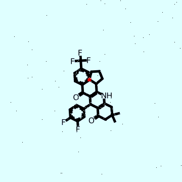 CC1(C)CC(=O)C2=C(C1)NC(C1CCCC1)=C(C(=O)c1ccc(C(F)(F)F)cc1)C2c1ccc(F)c(F)c1